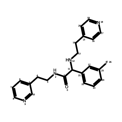 O=C(NCCc1cccnc1)C(NCCc1ccncc1)c1cccc(F)c1